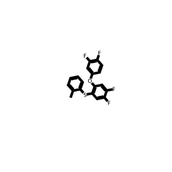 Cc1ccccc1Sc1cc(F)c(F)cc1Oc1ccc(F)c(F)c1